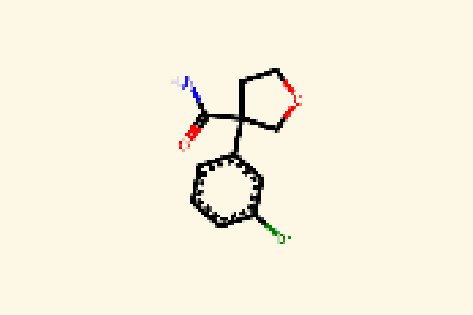 NC(=O)C1(c2cccc(Br)c2)CCOC1